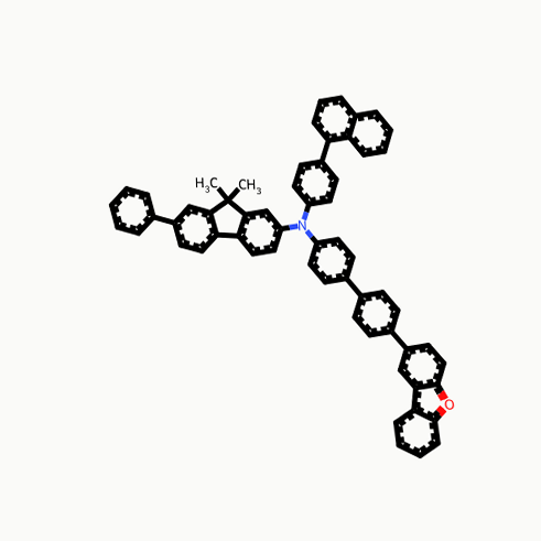 CC1(C)c2cc(-c3ccccc3)ccc2-c2ccc(N(c3ccc(-c4ccc(-c5ccc6oc7ccccc7c6c5)cc4)cc3)c3ccc(-c4cccc5ccccc45)cc3)cc21